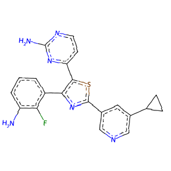 Nc1nccc(-c2sc(-c3cncc(C4CC4)c3)nc2-c2cccc(N)c2F)n1